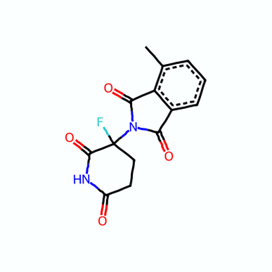 Cc1cccc2c1C(=O)N(C1(F)CCC(=O)NC1=O)C2=O